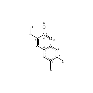 CCC(=Cc1ccc(C)c(C)c1)[N+](=O)[O-]